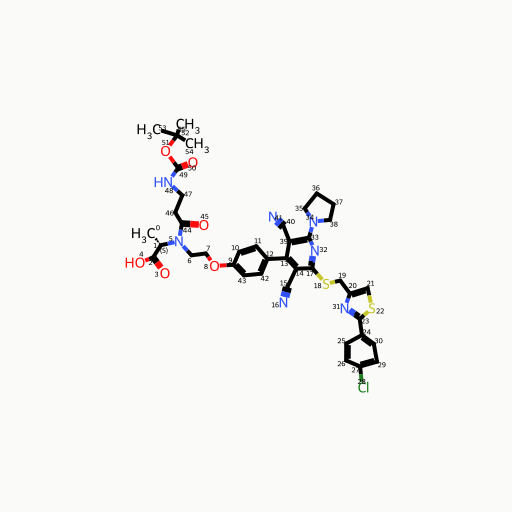 C[C@@H](C(=O)O)N(CCOc1ccc(-c2c(C#N)c(SCc3csc(-c4ccc(Cl)cc4)n3)nc(N3CCCC3)c2C#N)cc1)C(=O)CCNC(=O)OC(C)(C)C